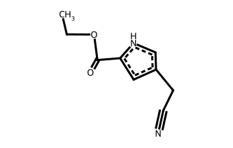 CCOC(=O)c1cc(CC#N)c[nH]1